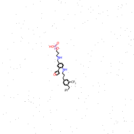 CC(C)Cc1ccc(CCCNc2ccc(CNCCCO[PH](=O)O)cc2-c2ccoc2)cc1C(F)(F)F